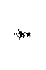 OC1c2c(C(F)F)ncc(OC3CC(F)(F)C3)c2CC1F